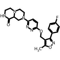 Cc1onc(-c2ccc(F)cc2)c1COc1ccc(N2CCN3CCNC(=O)C3C2)nn1